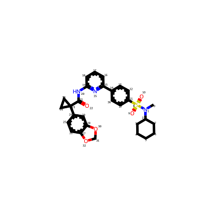 CN(C1CCCCC1)S(=O)(=O)c1ccc(-c2cccc(NC(=O)C3(c4ccc5c(c4)OCO5)CC3)n2)cc1